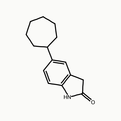 O=C1Cc2cc(C3CCCCCC3)ccc2N1